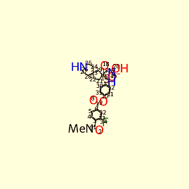 CNC(=O)c1ccc(C(=O)Oc2ccc([S+]([O-])C3(C(=O)NO)CCC4(CCNCC4)C3)cc2)cc1F